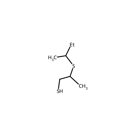 CCC(C)SC(C)CS